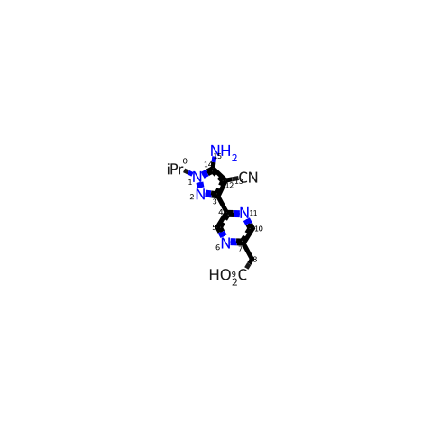 CC(C)n1nc(-c2cnc(CC(=O)O)cn2)c(C#N)c1N